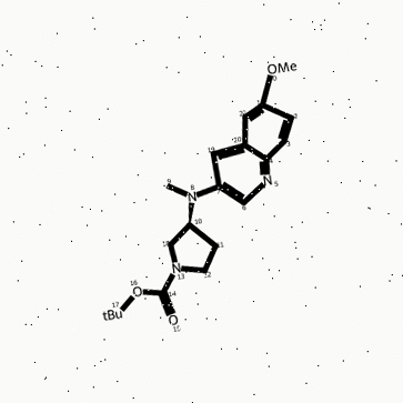 COc1ccc2ncc(N(C)[C@H]3CCN(C(=O)OC(C)(C)C)C3)cc2c1